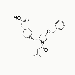 CC(C)CC(=O)N1C[C@H](OCc2ccccc2)C[C@H]1CN1CCC(CC(=O)O)CC1